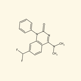 CN(C)c1nc(=O)n(-c2ccccc2)c2cc(C(F)F)ccc12